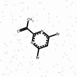 CC(=O)c1nc(Br)cc(Br)n1